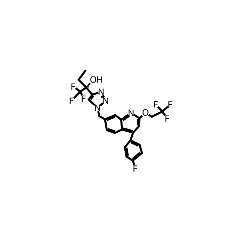 CC[C@](O)(c1cn(Cc2ccc3c(-c4ccc(F)cc4)cc(OCC(F)(F)F)nc3c2)nn1)C(F)(F)F